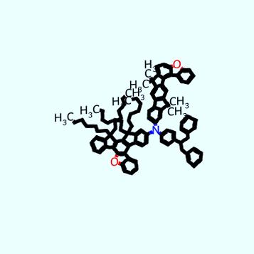 CCCCCCCC1(CCCCCCC)c2ccccc2-c2c1c1c(c3c2oc2ccccc23)-c2ccc(N(c3ccc(C(Cc4ccccc4)Cc4ccccc4)cc3)c3ccc4c(c3)C(C)(C)c3cc5c(cc3-4)C(C)(C)c3ccc4oc6ccccc6c4c3-5)cc2C1(CCCCCCC)CCCCCCC